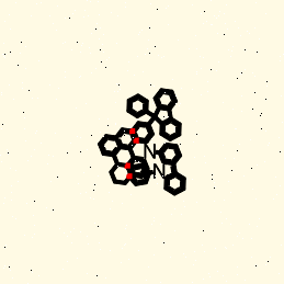 c1ccc(-n2c3ccccc3c3cccc(N(c4cccc(C5(c6ccccc6)c6ccccc6-c6ccccc65)c4)c4ccccc4-c4cccc5cccc(C6CCCCC6)c45)c32)cc1